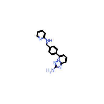 Nc1nc2cccc(-c3ccc(CNc4ccccn4)cc3)n2n1